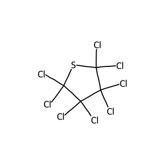 ClC1(Cl)SC(Cl)(Cl)C(Cl)(Cl)C1(Cl)Cl